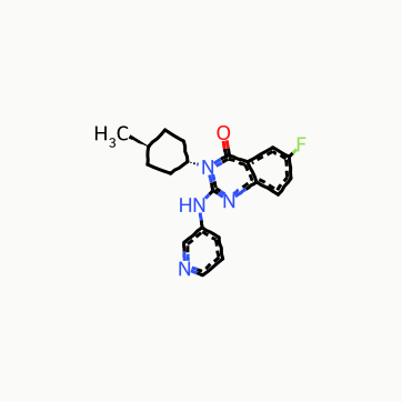 C[C@H]1CC[C@H](n2c(Nc3cccnc3)nc3ccc(F)cc3c2=O)CC1